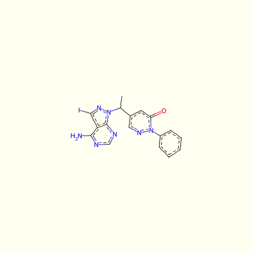 CC(c1cnn(-c2ccccc2)c(=O)c1)n1nc(I)c2c(N)ncnc21